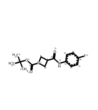 CC(C)(C)OC(=O)N1CC(C(=O)Nc2ccc(F)cc2)C1